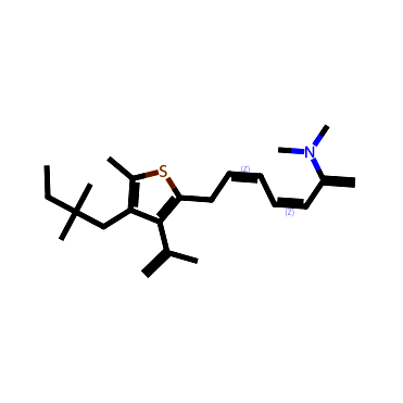 C=C(C)c1c(C/C=C\C=C/C(=C)N(C)C)sc(C)c1CC(C)(C)CC